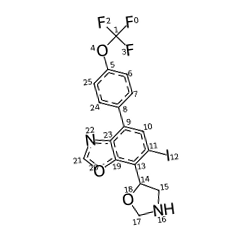 FC(F)(F)Oc1ccc(-c2cc(I)c(C3CNCO3)c3ocnc23)cc1